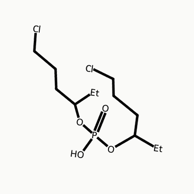 CCC(CCCCl)OP(=O)(O)OC(CC)CCCCl